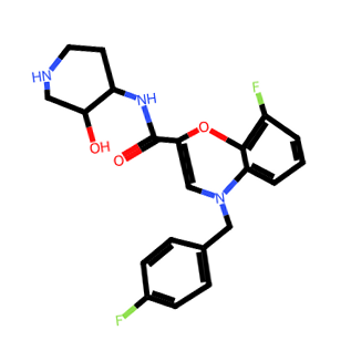 O=C(NC1CCNCC1O)C1=CN(Cc2ccc(F)cc2)c2cccc(F)c2O1